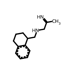 CC(=N)CNCC1CCCc2ccccc21